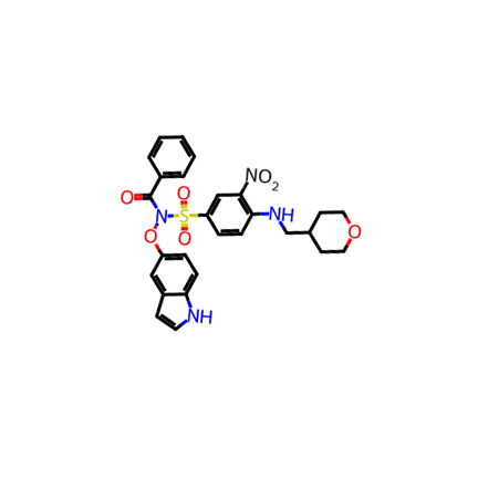 O=C(c1ccccc1)N(Oc1ccc2[nH]ccc2c1)S(=O)(=O)c1ccc(NCC2CCOCC2)c([N+](=O)[O-])c1